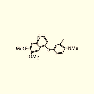 CNc1ccc(Oc2ccnc3cc(OC)c(OC)cc23)cc1C